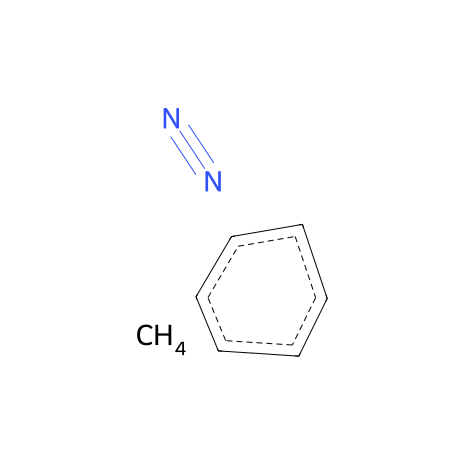 C.N#N.c1ccccc1